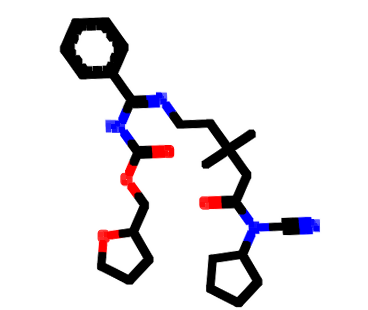 CC(C)(CCN=C(NC(=O)OCC1CCCO1)c1ccccc1)CC(=O)N(C#N)C1CCCC1